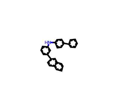 c1ccc(-c2ccc(Nc3cccc(-c4ccc5ccccc5c4)c3)cc2)cc1